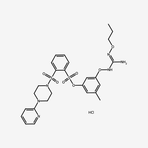 CCCON=C(N)NOc1cc(C)cc(OS(=O)(=O)c2ccccc2S(=O)(=O)N2CCN(c3ccccn3)CC2)c1.Cl